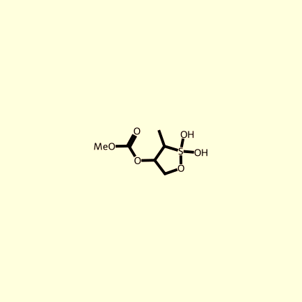 COC(=O)OC1COS(O)(O)C1C